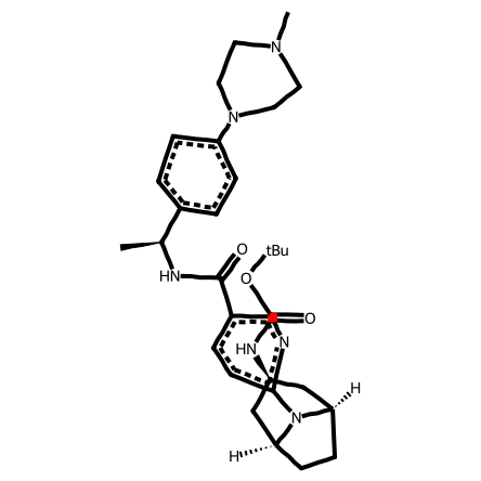 C[C@H](NC(=O)c1ccc(N2[C@@H]3CC[C@H]2C[C@@H](NC(=O)OC(C)(C)C)C3)nc1)c1ccc(N2CCN(C)CC2)cc1